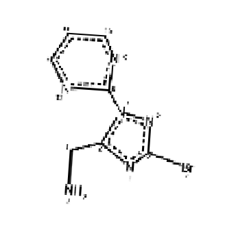 NCc1nc(Br)nn1-c1ncccn1